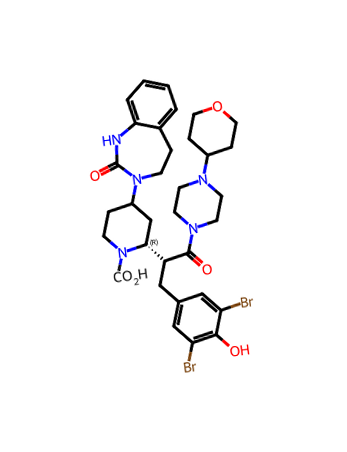 O=C(C(Cc1cc(Br)c(O)c(Br)c1)[C@H]1CC(N2CCc3ccccc3NC2=O)CCN1C(=O)O)N1CCN(C2CCOCC2)CC1